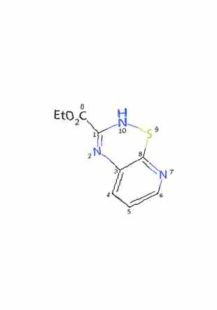 CCOC(=O)C1=Nc2cccnc2SN1